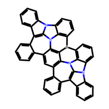 c1ccc2c(c1)c1cc3c4ccccc4c4c5ccccc5n5c6cccc7c6n(c3c3c1n1c6c(cccc6n6c8ccccc8c2c61)B37)c45